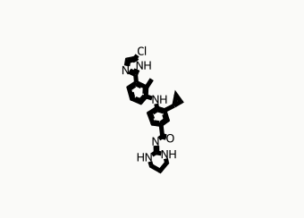 Cc1c(Nc2ccc(C(=O)N=C3NCCCN3)cc2C2CC2)cccc1-c1ncc(Cl)[nH]1